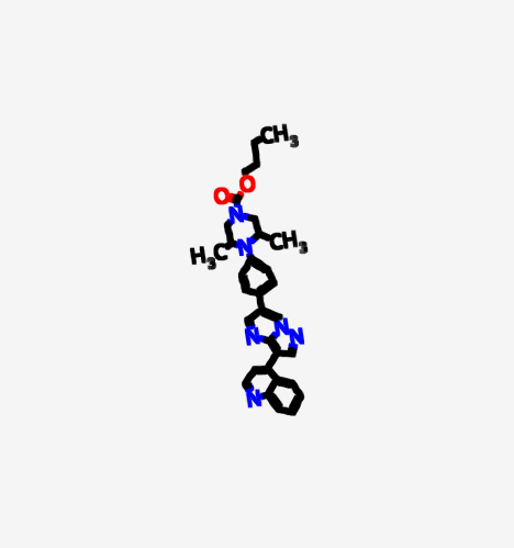 CCCCOC(=O)N1CC(C)N(c2ccc(-c3cnc4c(-c5ccnc6ccccc56)cnn4c3)cc2)C(C)C1